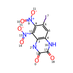 O=C1[N]c2c(cc(I)c([N+](=O)[O-])c2[N+](=O)[O-])NC1=O